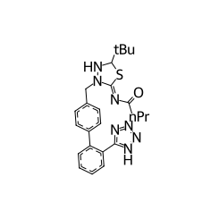 CCCC(=O)N=C1SC(C(C)(C)C)NN1Cc1ccc(-c2ccccc2-c2nnn[nH]2)cc1